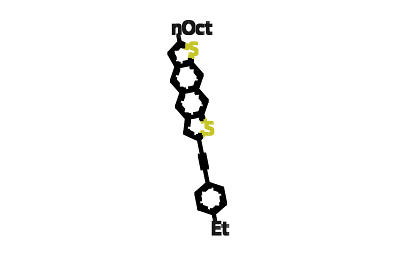 CCCCCCCCc1cc2cc3cc4cc(C#Cc5ccc(CC)cc5)sc4cc3cc2s1